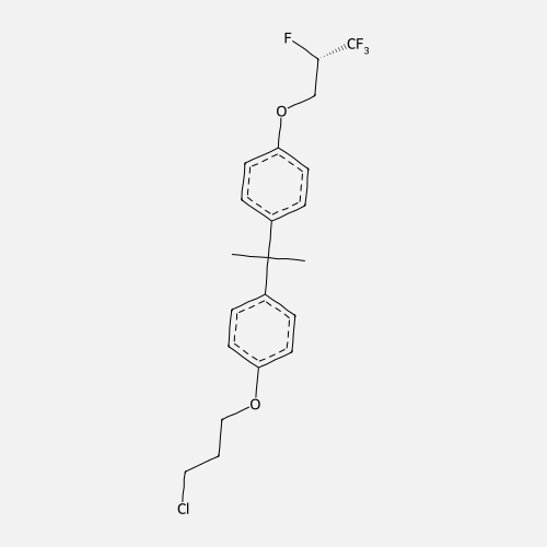 CC(C)(c1ccc(OCCCCl)cc1)c1ccc(OC[C@H](F)C(F)(F)F)cc1